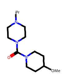 COC1CCN(C(=O)N2CCN(C(C)C)CC2)CC1